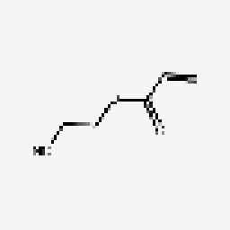 C=CC(=O)OCCC#N